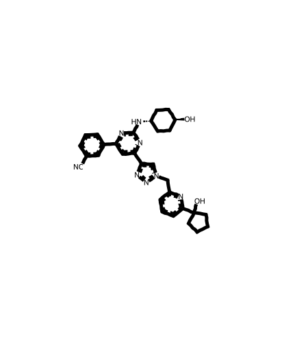 N#Cc1cccc(-c2cc(-c3cn(Cc4cccc(C5(O)CCCC5)n4)nn3)nc(N[C@H]3CC[C@H](O)CC3)n2)c1